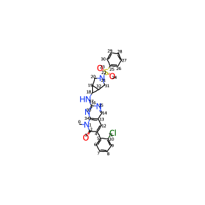 Cn1c(=O)c(-c2ccccc2Cl)cc2cnc(NC3C4CN(S(=O)(=O)c5ccccc5)CC43)nc21